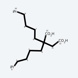 CC(C)CCCCC(CCCCC(C)C)(CC(=O)O)C(=O)O